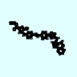 C[C@H](OC1CCCCO1)c1nccn1Cc1cc(-c2ccc(C#Cc3ccc(CN4CN(C(=O)OC(C)(C)C)CC4=O)nc3)cc2)on1